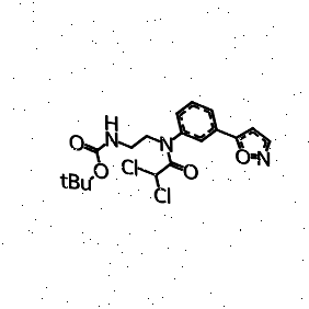 CC(C)(C)OC(=O)NCCN(C(=O)C(Cl)Cl)c1cccc(-c2ccno2)c1